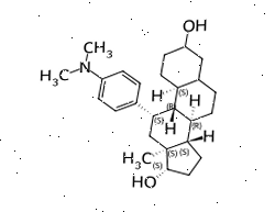 CN(C)c1ccc([C@H]2C[C@]3(C)[C@@H](O)CC[C@H]3[C@@H]3CCC4CC(O)CC[C@@H]4[C@H]32)cc1